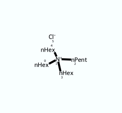 CCCCCC[N+](CCCCC)(CCCCCC)CCCCCC.[Cl-]